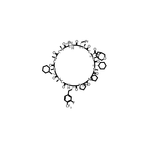 CC[C@H](C)[C@@H]1NC(=O)[C@H](CC(C)C)N(C)C(=O)C[C@@H](C(=O)N2C3CCC2COC3)N(C)C(=O)[C@H](C2CCCCC2)N(C)C(=O)C2(CCCC2)NC(=O)[C@@H]2CCCN2C(=O)[C@H](CCc2ccc(C(F)(F)F)c(F)c2)NC(=O)CN(C)C(=O)[C@H](CC2CCCCC2)N(C)C(=O)CN(C)C(=O)CN(C)C1=O